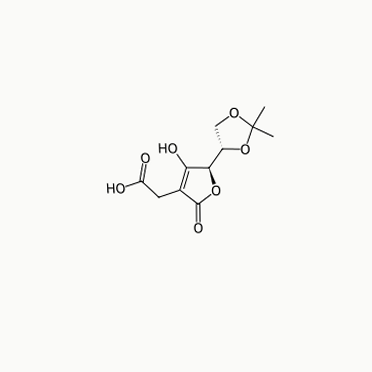 CC1(C)OC[C@@H]([C@H]2OC(=O)C(CC(=O)O)=C2O)O1